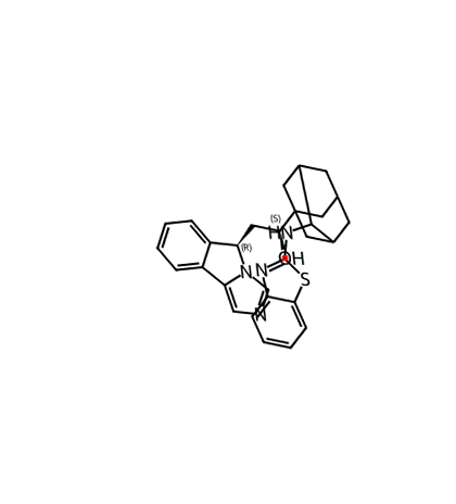 O[C@@H](C[C@@H]1c2ccccc2-c2cncn21)C12CC3CC(C1)C(Nc1nc4ccccc4s1)C(C3)C2